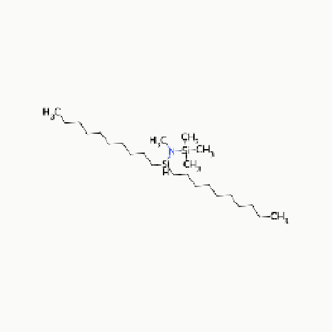 CCCCCCCCCC[SiH](CCCCCCCCCC)N(C)[Si](C)(C)C